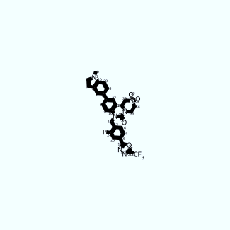 Cn1ccc2cc(-c3ccc(N(Cc4ccc(-c5nnc(C(F)(F)F)o5)cc4F)C(=O)N4CCS(=O)(=O)CC4)cc3)ccc21